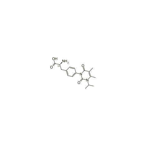 Cc1c(C)n(C(C)C)c(=O)n(-c2ccc(C[C@H](N)C(=O)O)cc2)c1=O